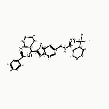 O=C(N[C@H](c1cn2ncc(CNC(=O)[C@H]3CCCC[C@@H]3C(F)(F)F)cc2n1)C1CCCCC1)c1ccccc1